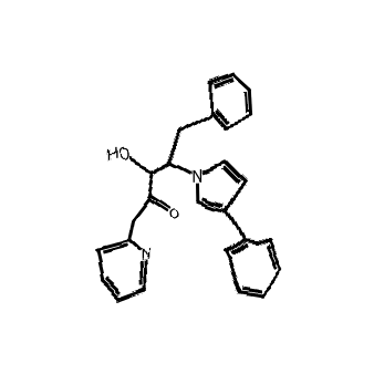 O=C(Cc1ccccn1)C(O)C(Cc1ccccc1)n1ccc(-c2ccccc2)c1